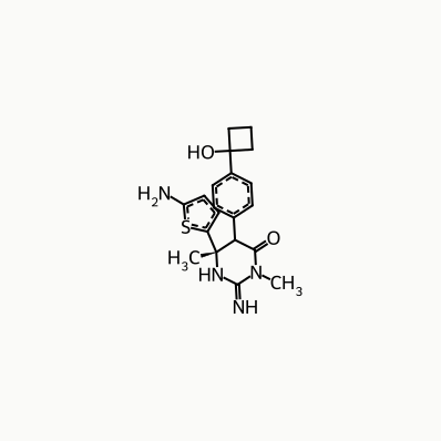 CN1C(=N)N[C@](C)(c2ccc(N)s2)C(c2ccc(C3(O)CCC3)cc2)C1=O